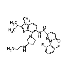 CC(C)c1nc2c(N3CC[C@@H](NCCN)C3)c(NC(=O)c3ccc(=O)n(-c4c(F)cccc4F)n3)ccc2n1C